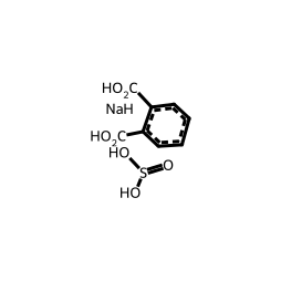 O=C(O)c1ccccc1C(=O)O.O=S(O)O.[NaH]